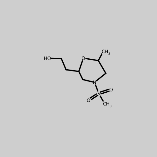 CC1CN(S(C)(=O)=O)CC(CCO)O1